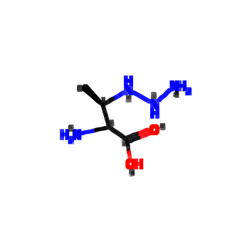 C[C@@H](NNN)C(N)C(=O)O